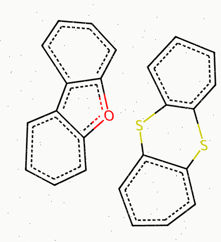 c1ccc2c(c1)Sc1ccccc1S2.c1ccc2c(c1)oc1ccccc12